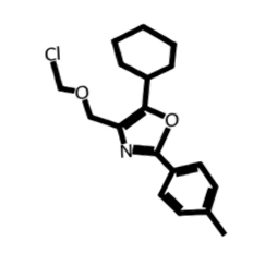 Cc1ccc(-c2nc(COCCl)c(C3CCCCC3)o2)cc1